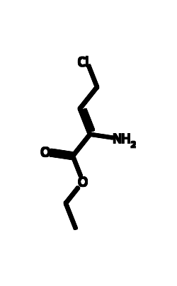 CCOC(=O)C(N)=CCCl